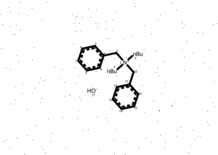 CCCC[N+](CCCC)(Cc1ccccc1)Cc1ccccc1.[OH-]